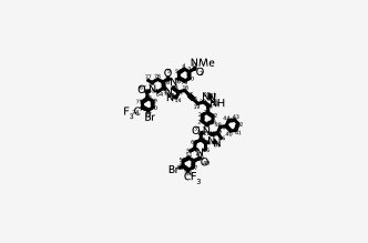 CNC(=O)c1ccc(-n2c(=O)c3c(n4ncc(CC#CCc5nn[nH]c5-c5ccc(-n6c(=O)c7c(n8ncc(Cc9ccccc9)c68)CN(C(=O)c6ccc(Br)c(C(F)(F)F)c6)C(C)C7)cc5)c24)CN(C(=O)c2ccc(Br)c(C(F)(F)F)c2)C(C)C3)cc1